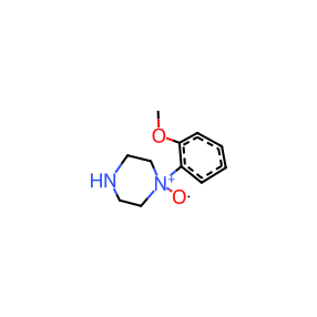 COc1ccccc1[N+]1([O])CCNCC1